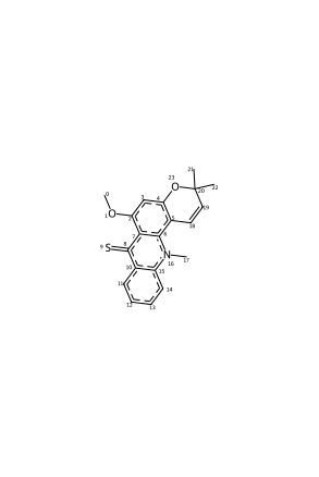 COc1cc2c(c3c1c(=S)c1ccccc1n3C)C=CC(C)(C)O2